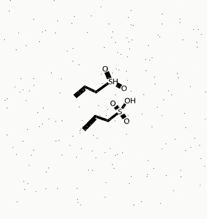 C=CCS(=O)(=O)O.C=CC[SH](=O)=O